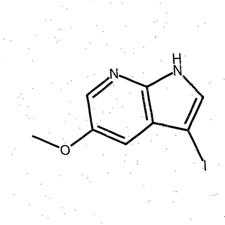 COc1cnc2[nH]cc(I)c2c1